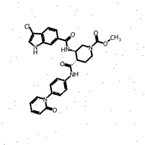 COC(=O)N1CC[C@H](C(=O)Nc2ccc(-n3ccccc3=O)cc2)[C@@H](NC(=O)c2ccc3c(Cl)c[nH]c3c2)C1